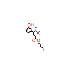 CCCCCOC(=O)CCC(NC(C)=O)c1cccc(O)c1